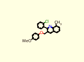 COc1ccc(OCc2cc3cccc(C)c3nc2-c2ccccc2Cl)cc1